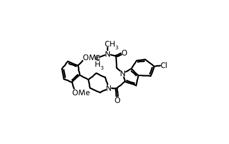 COc1cccc(OC)c1C1CCN(C(=O)c2cc3cc(Cl)ccc3n2CC(=O)N(C)C)CC1